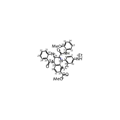 CCNc1ccc(/N=C(\C(=O)Nc2ccccc2OC)c2nc3ccccc3c(=O)n2-c2ccc(C(=O)OC)cc2)c(C)c1